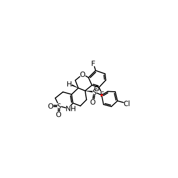 O=S1(=O)CCC2=C(CC[C@@]3(S(=O)(=O)c4ccc(Cl)cc4)c4c(F)ccc(F)c4OC[C@@H]23)N1